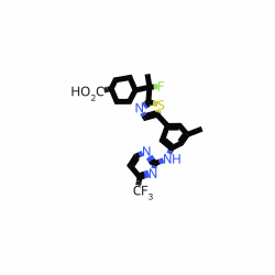 Cc1cc(Nc2nccc(C(F)(F)F)n2)cc(-c2cnc(C(C)(F)C3CCC(C(=O)O)CC3)s2)c1